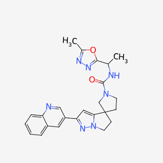 Cc1nnc(C(C)NC(=O)N2CCC3(CCn4nc(-c5cnc6ccccc6c5)cc43)C2)o1